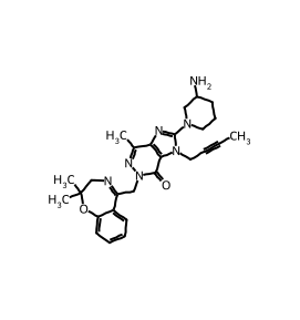 CC#CCn1c(N2CCCC(N)C2)nc2c(C)nn(CC3=NCC(C)(C)Oc4ccccc43)c(=O)c21